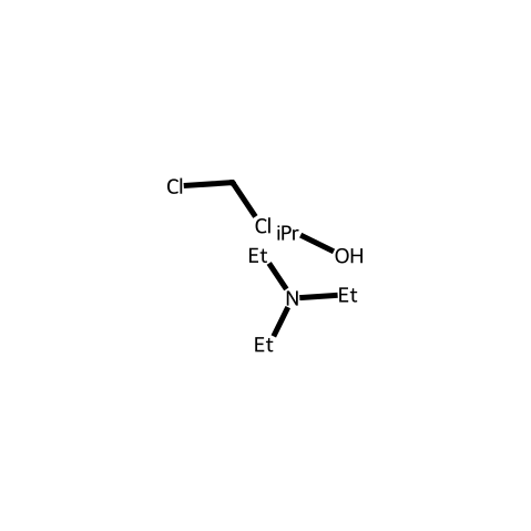 CC(C)O.CCN(CC)CC.ClCCl